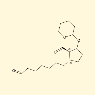 O=CCCCCCC[C@H]1CCC(OC2CCCCO2)[C@@H]1C=O